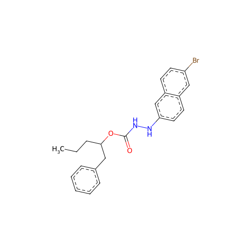 CCCC(Cc1ccccc1)OC(=O)NNc1ccc2cc(Br)ccc2c1